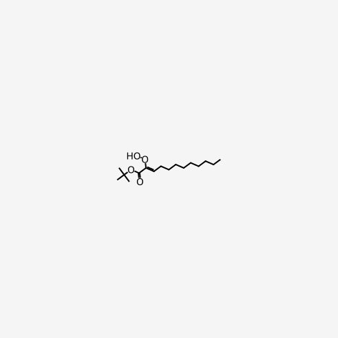 CCCCCCCCCC=C(OO)C(=O)OC(C)(C)C